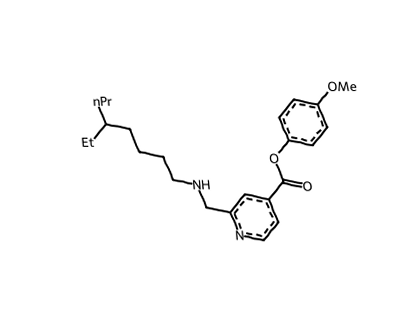 CCCC(CC)CCCCNCc1cc(C(=O)Oc2ccc(OC)cc2)ccn1